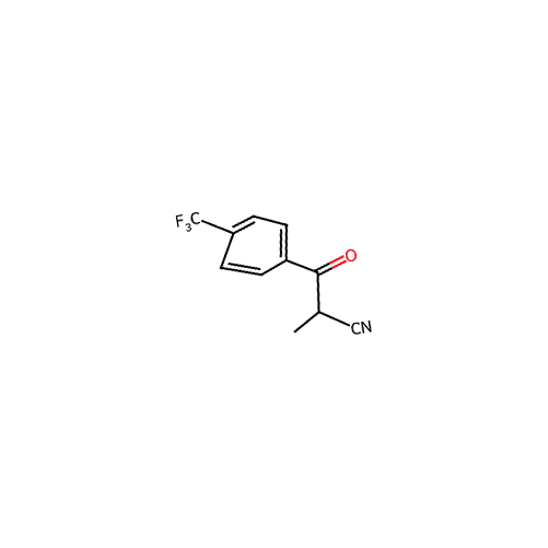 CC(C#N)C(=O)c1ccc(C(F)(F)F)cc1